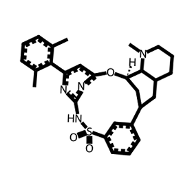 Cc1cccc(C)c1-c1cc2nc(n1)NS(=O)(=O)c1cccc(c1)C1CC3CCCN(C)C3[C@@H](C1)O2